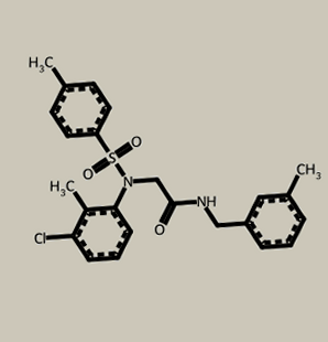 Cc1ccc(S(=O)(=O)N(CC(=O)NCc2cccc(C)c2)c2cccc(Cl)c2C)cc1